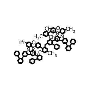 Cc1cc(C)c(-c2ccc3c(c2)B2c4c(cc(C)cc4-n4c5ccc(-c6ccccc6-c6ccccc6)cc5c5cc(-c6ccc(Cc7cc(C)cc(C)c7-c7ccc8c(c7)B7c9c(cc(C(C)C)cc9-n9c%10ccc(-c%11ccccc%11-c%11ccccc%11)cc%10c%10cc(-c%11ccccc%11-c%11ccccc%11)cc7c%109)O8)cc6-c6ccccc6)cc2c54)O3)c(C)c1